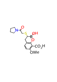 COc1ccc2c(c1C(=O)O)OB(O)C(SCC(=O)N1CCCC1)C2